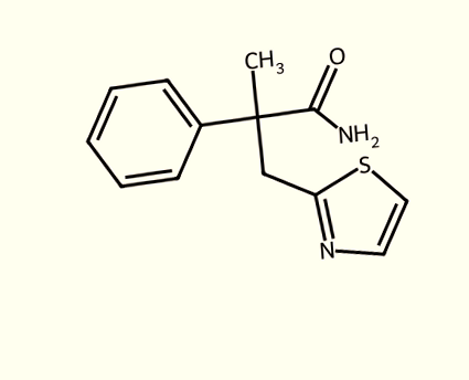 CC(Cc1nccs1)(C(N)=O)c1ccccc1